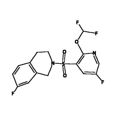 O=S(=O)(c1cc(F)cnc1OC(F)F)N1CCc2ccc(F)cc2C1